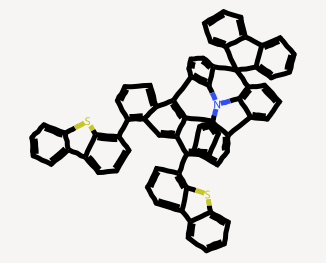 c1ccc2c(c1)-c1ccccc1C21c2cccc(-c3c4cccc(-c5cccc6c5sc5ccccc56)c4cc4c(-c5cccc6c5sc5ccccc56)cccc34)c2-n2c3ccccc3c3cccc1c32